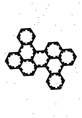 c1ccc2c(c1)c1cccc3ccc4c5c6ccccc6c6cccc7ccc(c2c4c31)c5c76